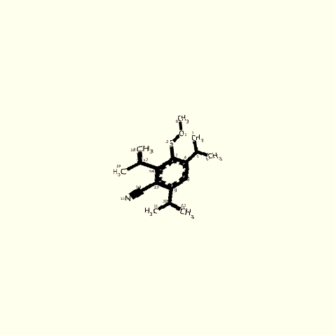 COSc1c(C(C)C)cc(C(C)C)c(C#N)c1C(C)C